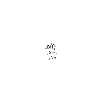 B.[Ni].[No].[SiH4]